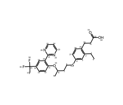 CCc1cc(SCCC(C)Oc2ccc(C(F)(F)F)cc2-c2ncccn2)ccc1CCC(=O)O